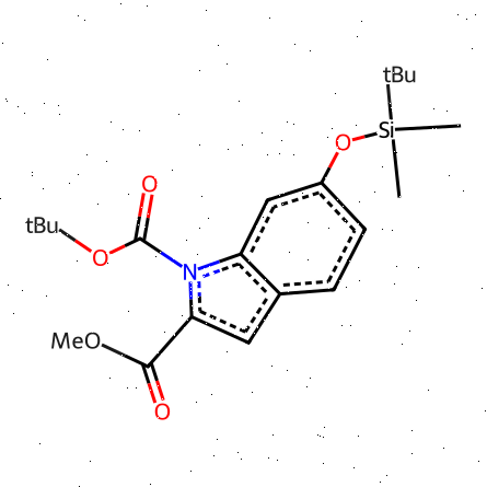 COC(=O)c1cc2ccc(O[Si](C)(C)C(C)(C)C)cc2n1C(=O)OC(C)(C)C